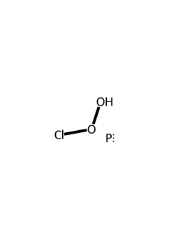 OOCl.[P]